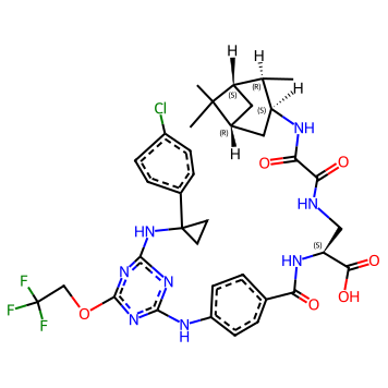 C[C@H]1[C@@H](NC(=O)C(=O)NC[C@H](NC(=O)c2ccc(Nc3nc(NC4(c5ccc(Cl)cc5)CC4)nc(OCC(F)(F)F)n3)cc2)C(=O)O)C[C@H]2C[C@@H]1C2(C)C